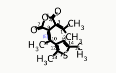 CC(C)=C1C(=O)OC(=O)/C1=C(\C)c1cc(C)sc1C